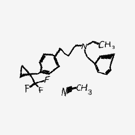 CC#N.CCN(CCCc1ccc(C2(C(F)(F)F)CC2)cc1)Cc1ccccc1